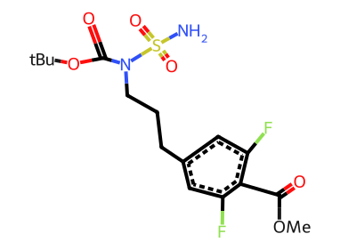 COC(=O)c1c(F)cc(CCCN(C(=O)OC(C)(C)C)S(N)(=O)=O)cc1F